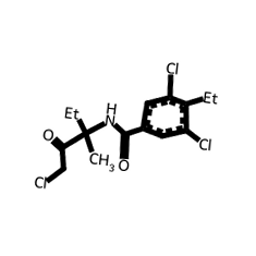 CCc1c(Cl)cc(C(=O)NC(C)(CC)C(=O)CCl)cc1Cl